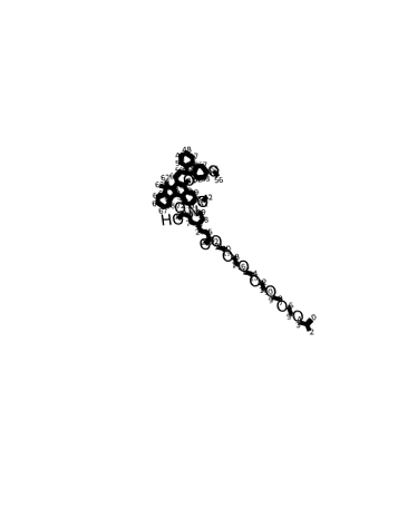 C=C(C)COCCOCCOCCOCCOCCOCCOC(=O)CCC1CCN(c2cc3c4c(c5c(c3cc2OC)OC(c2ccccc2)(c2ccc(OC)cc2)C=C5)C(C)(C)c2ccccc2-4)C(C(=O)O)C1